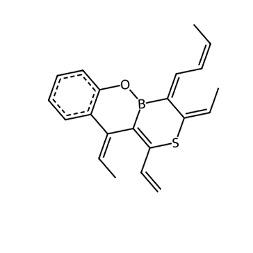 C=CC1=C2B(Oc3ccccc3/C2=C/C)C(=C/C=C\C)/C(=C\C)S1